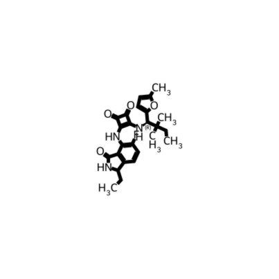 CCC1NC(=O)c2c1ccc(F)c2Nc1c(N[C@@H](c2ccc(C)o2)C(C)(C)CC)c(=O)c1=O